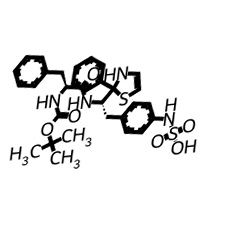 CC(C)(C)OC(=O)N[C@@H](Cc1ccccc1)C(=O)N[C@@H](Cc1ccc(NS(=O)(=O)O)cc1)C1(c2ccccc2)NC=CS1